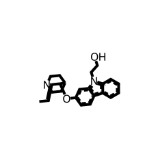 CC=C1C(Oc2ccc3c4ccccc4n(CCO)c3c2)C2CCN1CC2